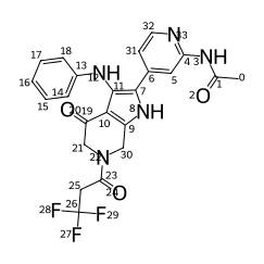 CC(=O)Nc1cc(-c2[nH]c3c(c2Nc2ccccc2)C(=O)CN(C(=O)CC(F)(F)F)C3)ccn1